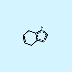 [c]1nc2c([nH]1)CC=CC2